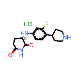 Cl.O=C1CC[C@H](Nc2ccc(C3CCNCC3)c(F)c2)C(=O)N1